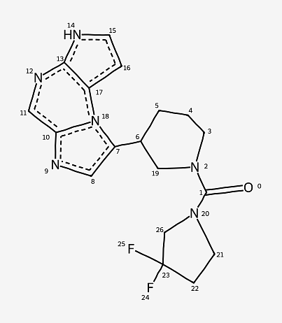 O=C(N1CCCC(c2cnc3cnc4[nH]ccc4n23)C1)N1CCC(F)(F)C1